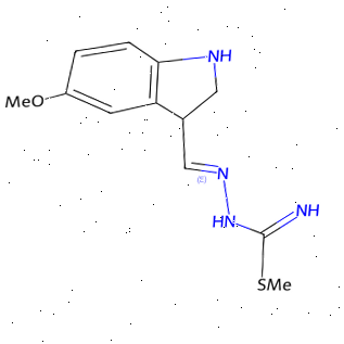 COc1ccc2c(c1)C(/C=N/NC(=N)SC)CN2